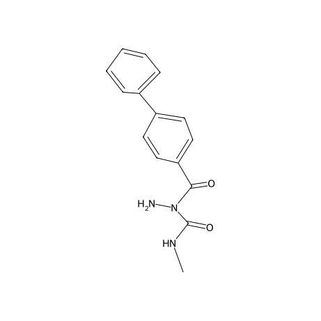 CNC(=O)N(N)C(=O)c1ccc(-c2ccccc2)cc1